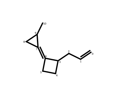 C=CCC1CCC1=C1CC1C